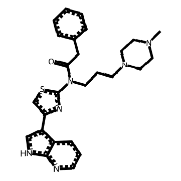 CN1CCN(CCCN(C(=O)Cc2ccccc2)c2nc(-c3c[nH]c4ncccc34)cs2)CC1